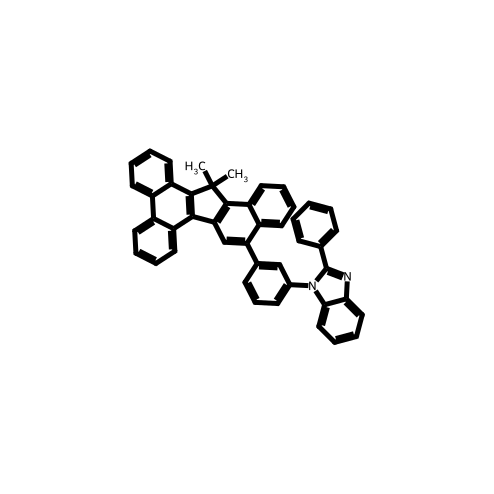 CC1(C)c2c(cc(-c3cccc(-n4c(-c5ccccc5)nc5ccccc54)c3)c3ccccc23)-c2c1c1ccccc1c1ccccc21